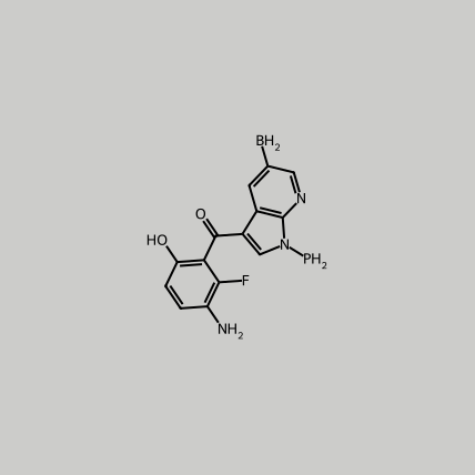 Bc1cnc2c(c1)c(C(=O)c1c(O)ccc(N)c1F)cn2P